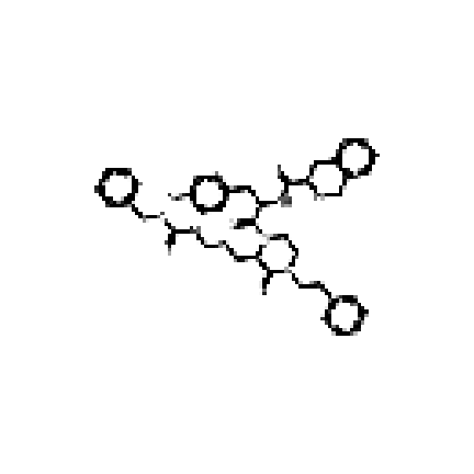 O=C(NCCCC1C(=O)N(CCc2ccccc2)CCN1C(=O)C(Cc1ccc(F)cc1)NC(=O)C1Cc2ccccc2CN1)OCc1ccccc1